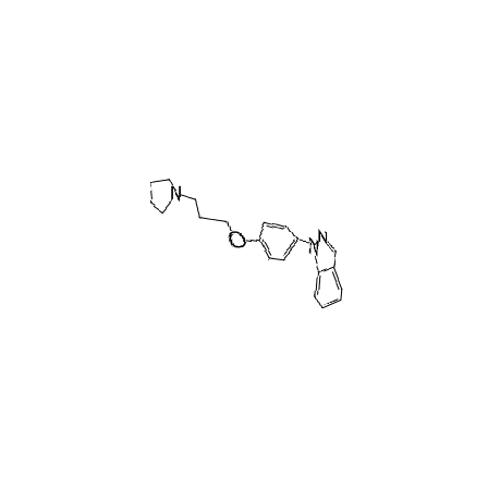 c1ccc2c(c1)cnn2-c1ccc(OCCCN2CCCC2)cc1